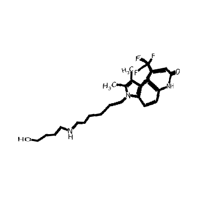 Cc1c(C)n(CCCCCCNCCCCO)c2ccc3[nH]c(=O)cc(C(F)(F)F)c3c12